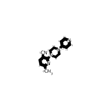 Cc1ccc(C#N)c(N2CCN(c3ccncc3)CC2)n1